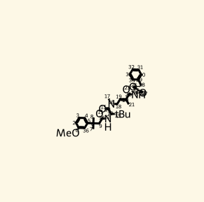 COc1cccc(C(C)(C)CC(=O)NC(C(=O)N(C)C/C=C(\C)C(=O)NS(=O)(=O)Cc2ccccc2)C(C)(C)C)c1